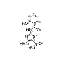 CC(C)(C)C(=O)c1sc(NC(=O)c2ccccc2O)nc1C(C)(C)C